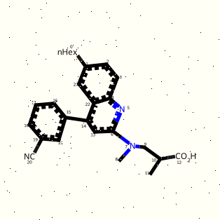 CCCCCCc1ccc2nc(N(C)CC(C)C(=O)O)cc(-c3cccc(C#N)c3)c2c1